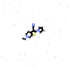 CCN1CCc2c(sc(-n3cccc3)c2C#N)C1